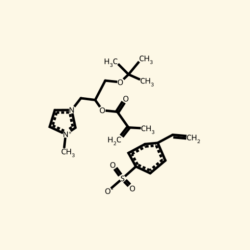 C=C(C)C(=O)OC(COC(C)(C)C)Cn1cc[n+](C)c1.C=Cc1ccc(S(=O)(=O)[O-])cc1